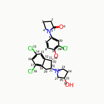 O=C1CCCN1c1ccc(O[C@H]2c3cc(Cl)cc(Cl)c3C[C@@H]2N2CC[C@@H](O)C2)c(Cl)c1